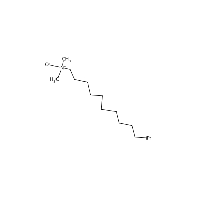 CC(C)CCCCCCCCCC[N+](C)(C)[O-]